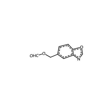 O=COCc1ccc2ocnc2c1